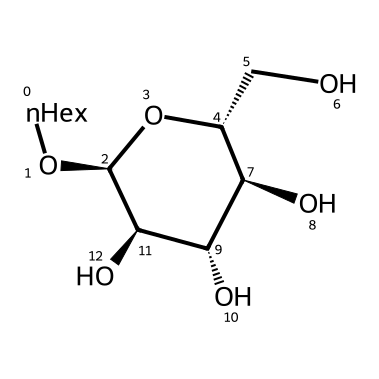 CCCCCCO[C@H]1O[C@H](CO)[C@@H](O)[C@H](O)[C@H]1O